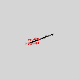 CCCCCCCCCCCC(=O)OC[C@H](O)[C@@H](O)[C@H](O)[C@H](O)CO